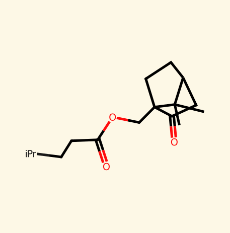 CC(C)CCC(=O)OCC12CCC(CC1=O)C2(C)C